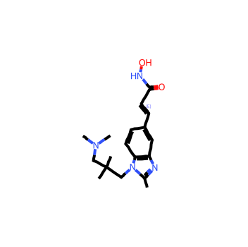 Cc1nc2cc(/C=C/C(=O)NO)ccc2n1CC(C)(C)CN(C)C